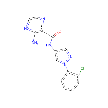 Nc1nccnc1C(=O)Nc1cnn(-c2ccccc2Cl)c1